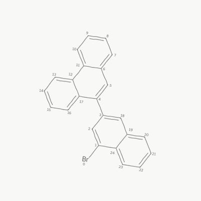 Brc1cc(-c2cc3ccccc3c3ccccc23)cc2ccccc12